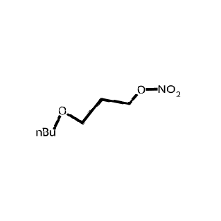 CCCCOCCCO[N+](=O)[O-]